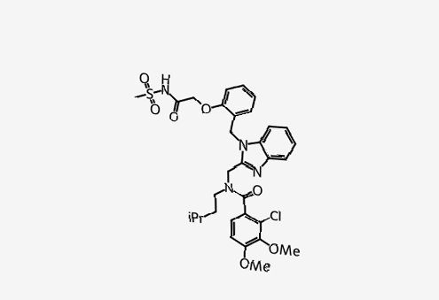 COc1ccc(C(=O)N(CCC(C)C)Cc2nc3ccccc3n2Cc2ccccc2OCC(=O)NS(C)(=O)=O)c(Cl)c1OC